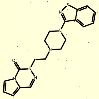 O=c1n(CCN2CCN(c3nsc4ccccc34)CC2)ncc2cccn12